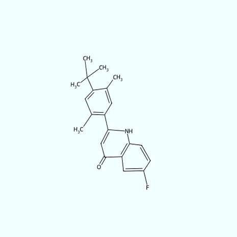 Cc1cc(C(C)(C)C)c(C)cc1-c1cc(=O)c2cc(F)ccc2[nH]1